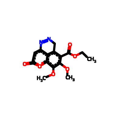 CCOC(=O)c1c(OC)c(OC)c2oc(=O)cc3c2c1CN=N3